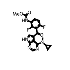 COC(=O)Nc1ccc(F)c(C(=O)c2c[nH]c3ncnc(N(C)C4CC4)c23)c1F